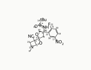 CN1CC(C#N)(S(=O)(=O)C[C@](C)(N[S@+]([O-])C(C)(C)C)c2cc([N+](=O)[O-])ccc2F)C1